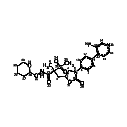 CC(C[C@H]1CN(c2ccc(-c3ccncc3F)cc2)C(=O)O1)(C(=O)NOC1CCCCO1)S(C)(=O)=O